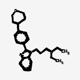 CCN(CC)CCCn1c(-c2ccc(C3CCOCC3)cc2)nc2ccccc21